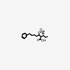 CCCC(C(=O)O)C(CCCCc1ccccc1)OS(C)(=O)=O